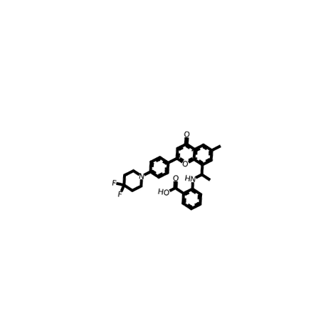 Cc1cc(C(C)Nc2ccccc2C(=O)O)c2oc(-c3ccc(N4CCC(F)(F)CC4)cc3)cc(=O)c2c1